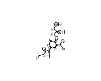 CCCC(=O)Nc1ccc(OC[C@@H](O)CO)c(C(C)=O)c1